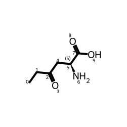 CCC(=O)C[C@H](N)C(=O)O